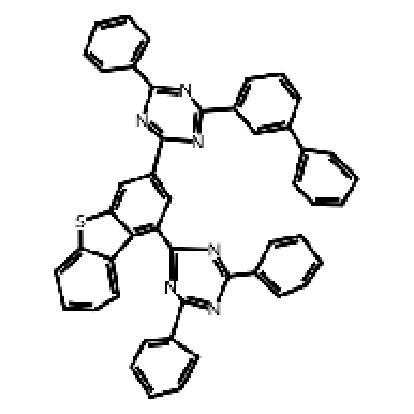 c1ccc(-c2cccc(-c3nc(-c4ccccc4)nc(-c4cc(-c5nc(-c6ccccc6)nc(-c6ccccc6)n5)c5c(c4)sc4ccccc45)n3)c2)cc1